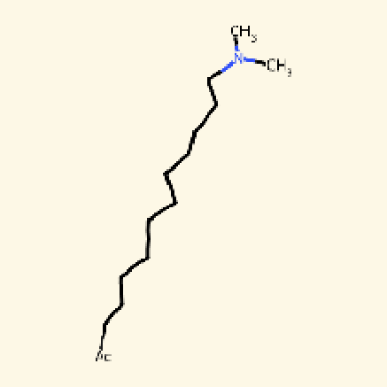 CC(=O)CCCCCCCCCCCN(C)C